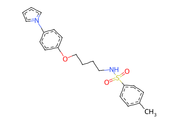 Cc1ccc(S(=O)(=O)NCCCCOc2ccc(-n3cccc3)cc2)cc1